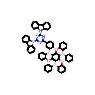 c1ccc(B2c3ccccc3Oc3c2c2c(c4c3B(c3cccc(-c5nc(-n6c7ccccc7c7ccccc76)nc(-n6c7ccccc7c7ccccc76)n5)c3)c3ccccc3O4)B(c3ccccc3)c3ccccc3O2)cc1